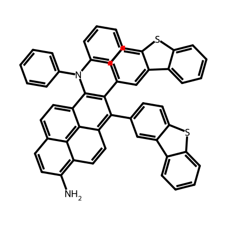 Nc1ccc2ccc3c(N(c4ccccc4)c4ccccc4)c(-c4ccc5sc6ccccc6c5c4)c(-c4ccc5sc6ccccc6c5c4)c4ccc1c2c43